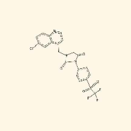 O=C1CN(Cc2ccnc3ccc(Cl)cc23)C(=O)N1c1ccc(S(=O)(=O)C(F)(F)F)cc1